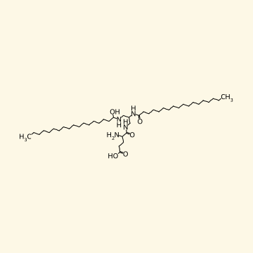 CCCCCCCCCCCCCCCCCC(=O)NC(CNC(=O)C(N)CCC(=O)O)CNC(O)CCCCCCCCCCCCCCCCC